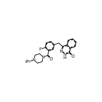 CC(C)N1CCN(C(=O)c2cc(Cc3n[nH]c(=O)c4ccccc34)ccc2F)CC1